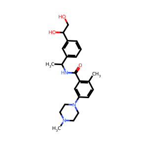 Cc1ccc(N2CCN(C)CC2)cc1C(=O)NC(C)c1cccc(C(O)CO)c1